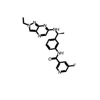 CCn1cc2ncc(N[C@@H](C)c3cccc(NC(=O)c4cncc(F)c4)c3)nc2n1